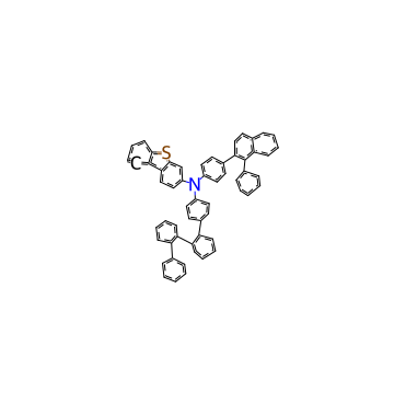 c1ccc(-c2ccccc2-c2ccccc2-c2ccc(N(c3ccc(-c4ccc5ccccc5c4-c4ccccc4)cc3)c3ccc4c(c3)sc3ccccc34)cc2)cc1